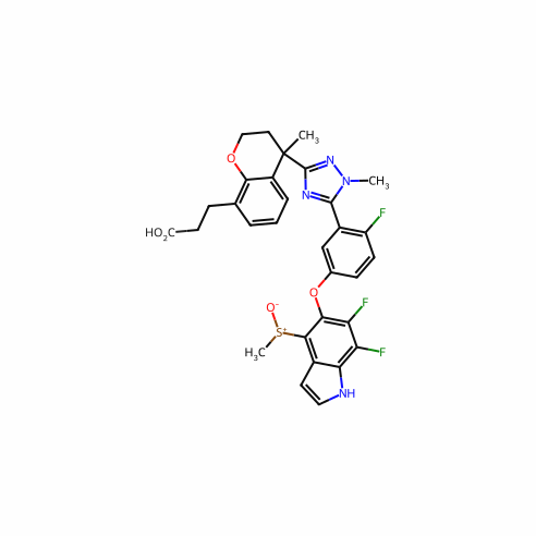 Cn1nc(C2(C)CCOc3c(CCC(=O)O)cccc32)nc1-c1cc(Oc2c(F)c(F)c3[nH]ccc3c2[S+](C)[O-])ccc1F